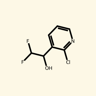 OC(c1cccnc1Cl)C(F)F